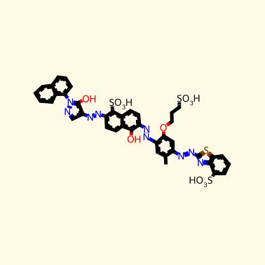 Cc1cc(N=Nc2ccc3c(S(=O)(=O)O)c(N=Nc4cnn(-c5cccc6ccccc56)c4O)ccc3c2O)c(OCCCS(=O)(=O)O)cc1N=Nc1nc2c(S(=O)(=O)O)cccc2s1